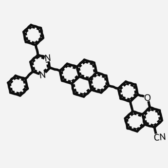 N#Cc1ccc2c3c(cccc13)-c1cc(-c3cc4ccc5cc(-c6nc(-c7ccccc7)cc(-c7ccccc7)n6)cc6ccc(c3)c4c56)ccc1O2